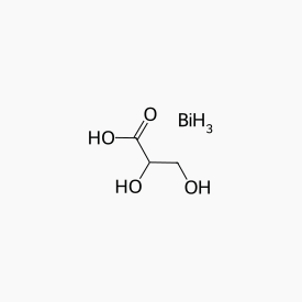 O=C(O)C(O)CO.[BiH3]